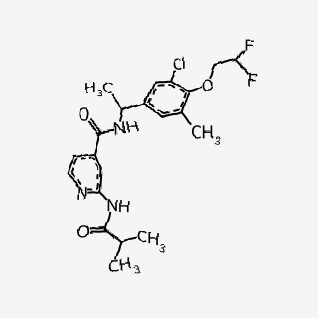 Cc1cc(C(C)NC(=O)c2ccnc(NC(=O)C(C)C)c2)cc(Cl)c1OCC(F)F